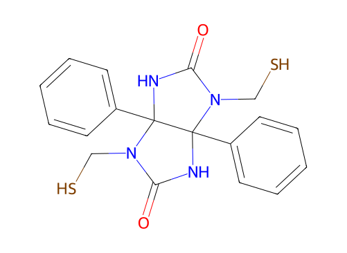 O=C1NC2(c3ccccc3)N(CS)C(=O)NC2(c2ccccc2)N1CS